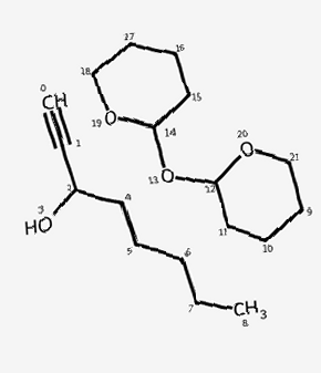 C#CC(O)CCCCC.C1CCC(OC2CCCCO2)OC1